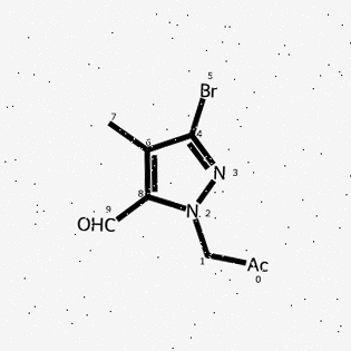 CC(=O)Cn1nc(Br)c(C)c1C=O